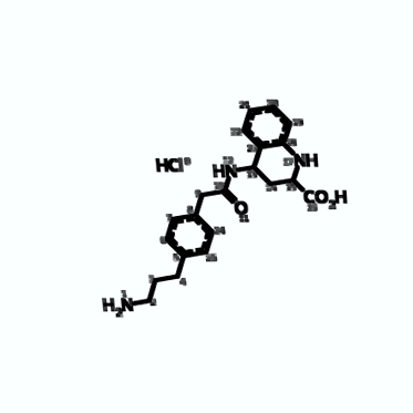 Cl.NCCCc1ccc(CC(=O)NC2CC(C(=O)O)Nc3ccccc32)cc1